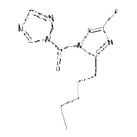 CCCCCc1nc(F)nn1C(=O)n1cncn1